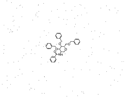 O=C(N[C@@H]1CO[C@H](COCc2ccccc2)[C@H](OCc2ccccc2)[C@@H]1OCc1ccccc1)c1ccccc1